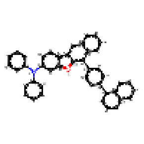 c1ccc(N(c2ccccc2)c2ccc3c(c2)oc2c(-c4ccc(-c5cccc6ccccc56)cc4)c4ccccc4cc23)cc1